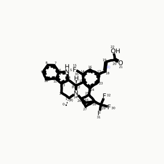 C[C@@H]1Cc2c([nH]c3ccccc23)[C@H]2c3c(F)cc(/C=C/C(=O)O)cc3C3C4(CC3(C(F)(F)F)C4)N21